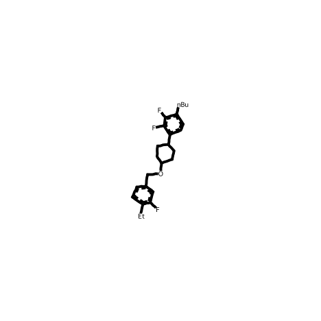 CCCCc1ccc(C2CCC(OCc3ccc(CC)c(F)c3)CC2)c(F)c1F